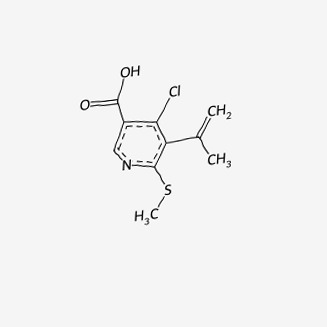 C=C(C)c1c(SC)ncc(C(=O)O)c1Cl